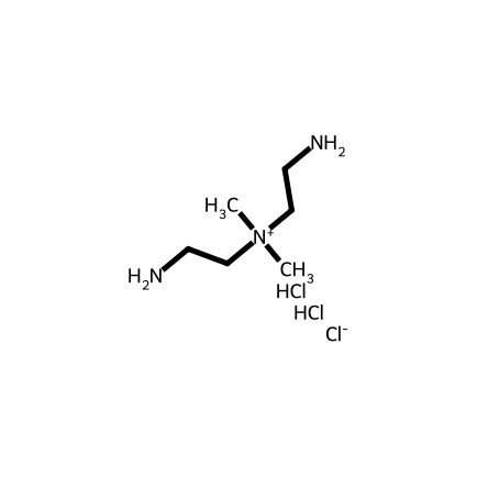 C[N+](C)(CCN)CCN.Cl.Cl.[Cl-]